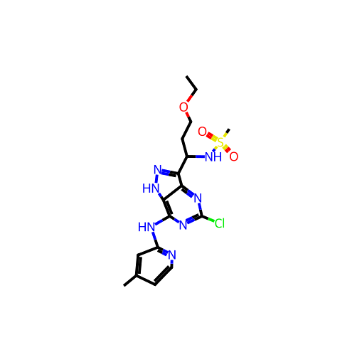 CCOCCC(NS(C)(=O)=O)c1n[nH]c2c(Nc3cc(C)ccn3)nc(Cl)nc12